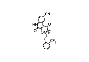 COc1c(C(=O)N(C)CCCc2ccccc2C(F)(F)F)c2cc(C#N)ccc2[nH]c1=O